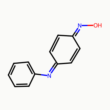 ON=C1C=CC(=Nc2ccccc2)C=C1